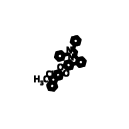 CC1(C)c2ccccc2-c2cc3c(cc21)Oc1ccc(-c2ccccc2-c2cc(-c4ccccc4)nc(-c4ccccc4)n2)cc1O3